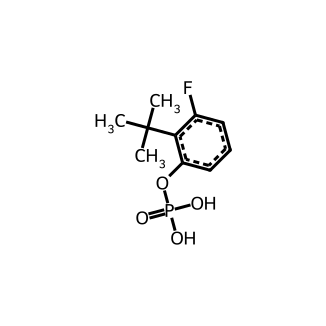 CC(C)(C)c1c(F)cccc1OP(=O)(O)O